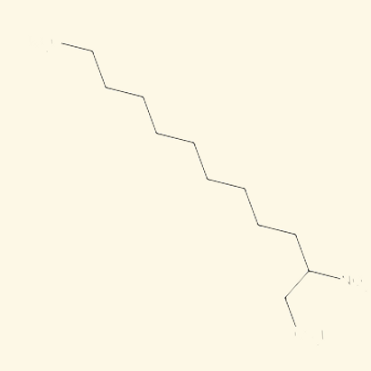 O=C(O)CCCCCCCCCC(CC(=O)O)[N+](=O)[O-]